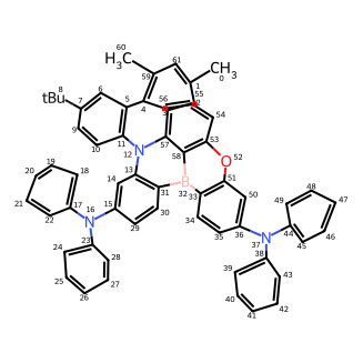 Cc1ccc(-c2cc(C(C)(C)C)ccc2N2c3cc(N(c4ccccc4)c4ccccc4)ccc3B3c4ccc(N(c5ccccc5)c5ccccc5)cc4Oc4cccc2c43)c(C)c1